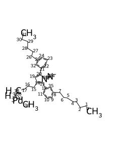 CCCCCCCCc1cccc(C2=C(CCCC)C=C(c3cccc(CCCCCC)c3)[N+]2=[N-])c1.[CH3][Pd][CH3]